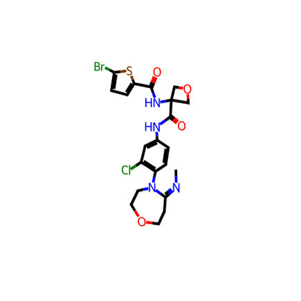 CN=C1CCOCCN1c1ccc(NC(=O)C2(NC(=O)c3ccc(Br)s3)COC2)cc1Cl